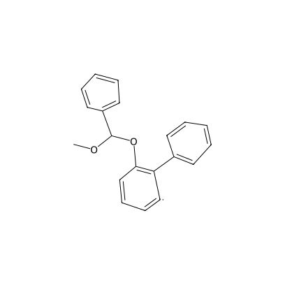 COC(Oc1ccc[c]c1-c1ccccc1)c1ccccc1